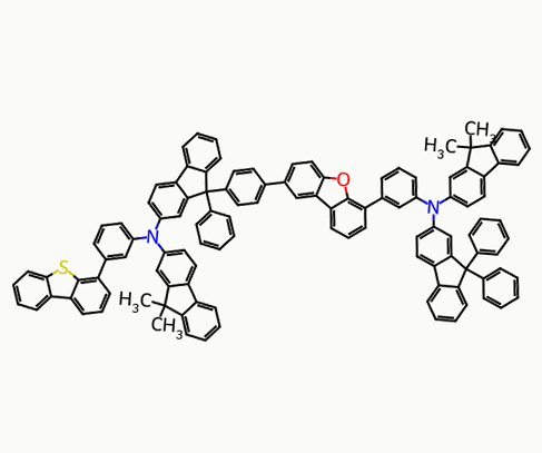 CC1(C)c2ccccc2-c2ccc(N(c3cccc(-c4cccc5c4oc4ccc(-c6ccc(C7(c8ccccc8)c8ccccc8-c8ccc(N(c9cccc(-c%10cccc%11c%10sc%10ccccc%10%11)c9)c9ccc%10c(c9)C(C)(C)c9ccccc9-%10)cc87)cc6)cc45)c3)c3ccc4c(c3)C(c3ccccc3)(c3ccccc3)c3ccccc3-4)cc21